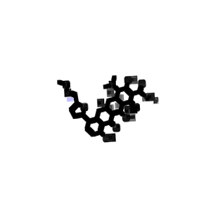 CO/N=C/c1ccc(-c2ccc(O)c3c2C[C@H]2C[C@H]4C(N(C)C)C(O)=C(C(N)=O)C(=O)[C@@]4(O)C(O)=C2C3=O)o1